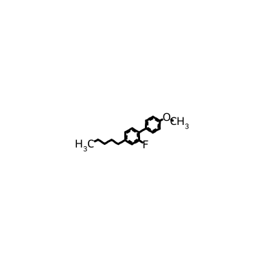 CCCCCc1ccc(-c2ccc(OC)cc2)c(F)c1